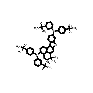 CC(C)(C)c1ccc(N(c2cccc(C(C)(C)C)c2)c2ccc3c(c2)oc2cc4c5c(c(N(c6ccc(C(C)(C)C)cc6)c6cccc(C(C)(C)C)c6)ccc5c23)CCC4(C)C)cc1